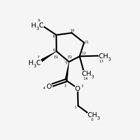 CCOC(=O)[C@H]1[C@@H](C)C(C)CCC1(C)C